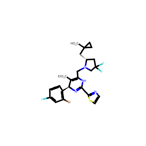 CCOC(=O)C1=C(CN2CC(F)(F)C[C@H]2CC2(C(=O)O)CC2)NC(c2nccs2)=N[C@H]1c1ccc(F)cc1Br